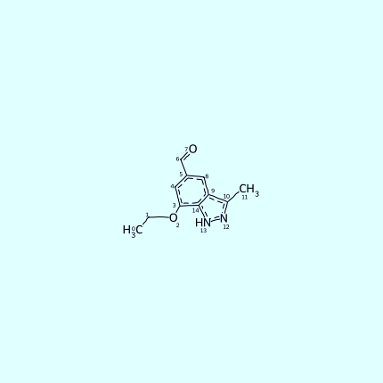 CCOc1cc(C=O)cc2c(C)n[nH]c12